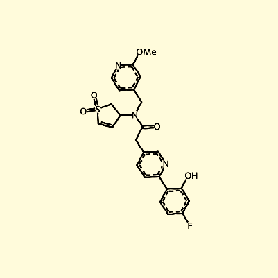 COc1cc(CN(C(=O)Cc2ccc(-c3ccc(F)cc3O)nc2)C2C=CS(=O)(=O)C2)ccn1